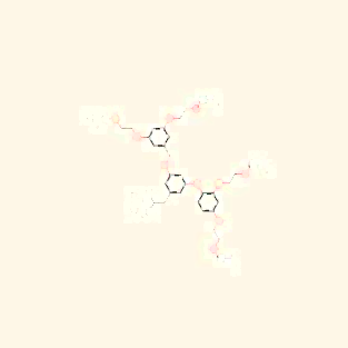 COCCOc1cc(COc2cc(CC(C)C)cc(Oc3ccc(OCCOC)cc3OCCOC)c2)cc(OCCOC)c1